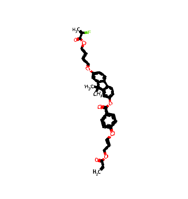 C=CC(=O)OCCCOc1ccc(C(=O)Oc2ccc3c(c2)C(C)(C)c2cc(OCCCCOC(=O)C(=C)F)ccc2-3)cc1